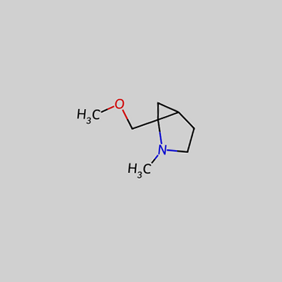 COCC12CC1CCN2C